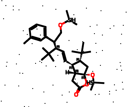 Cc1cccc(C(CO[SiH](C)C)[C@@H](C=C[C@@H]2[C@H](C(C)(C)C)C[C@@]3(O[SiH](C)C)OC(=O)C[C@H]23)C(C)(C)C)c1